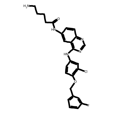 NCCCCC(=O)Nc1ccc2ncnc(Nc3ccc(OCc4cccc(F)c4)c(Cl)c3)c2c1